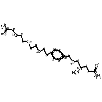 NC(=O)CC[C@H](N)COCc1ccc(CCOCCOCCOCC(N)=O)cc1